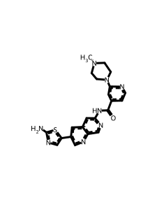 CN1CCN(c2cc(C(=O)Nc3cc4cc(-c5cnc(N)s5)cnc4cn3)ccn2)CC1